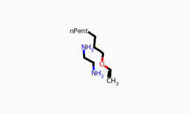 C=COCCCCCCCC.NCCN